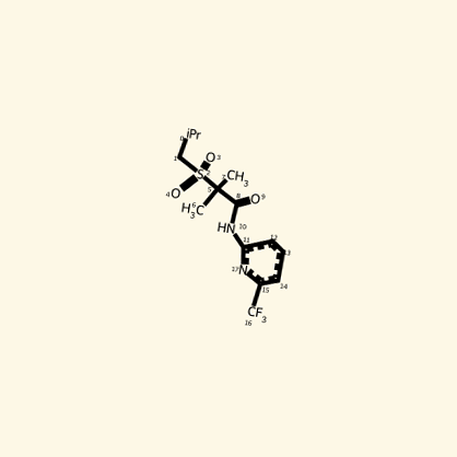 CC(C)CS(=O)(=O)C(C)(C)C(=O)Nc1cccc(C(F)(F)F)n1